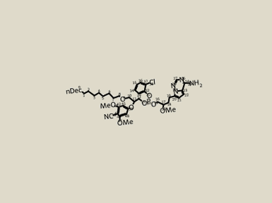 CCCCCCCCCCCCCCCCCCOCC(COP(OCC(CCc1ccc2c(N)ncnn12)OC)Oc1ccccc1Cl)Oc1cc(OC)c(C#N)c(OC)c1